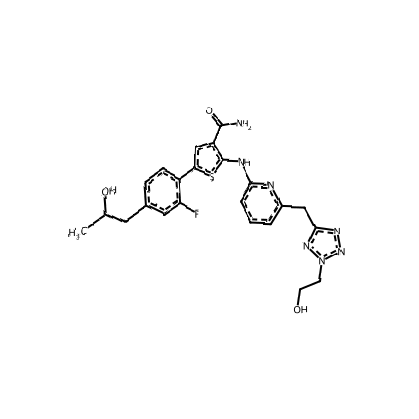 CC(O)Cc1ccc(-c2cc(C(N)=O)c(Nc3cccc(Cc4nnn(CCO)n4)n3)s2)c(F)c1